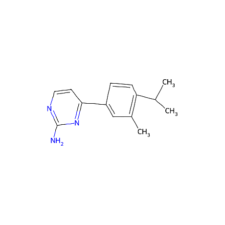 Cc1cc(-c2ccnc(N)n2)ccc1C(C)C